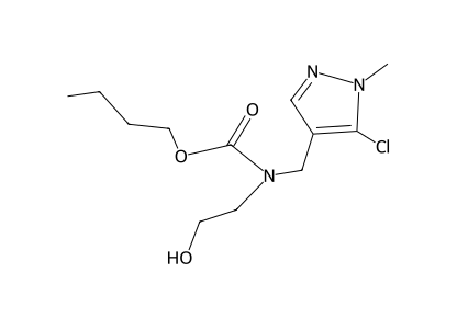 CCCCOC(=O)N(CCO)Cc1cnn(C)c1Cl